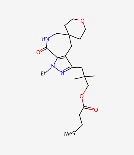 CCn1nc(CC(C)(C)COC(=O)CCSC)c2c1C(=O)NCC1(CCOCC1)C2